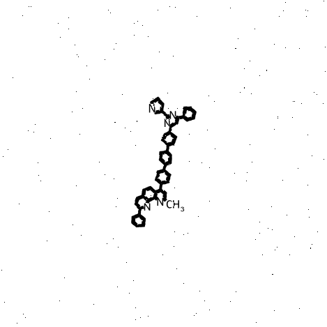 Cc1cc(-c2ccc(-c3ccc(-c4ccc(-c5cc(-c6ccccc6)nc(-c6cccnc6)n5)cc4)cc3)cc2)c2ccc3ccc(-c4ccccc4)nc3c2n1